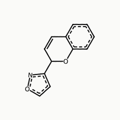 C1=CC(c2ccon2)Oc2ccccc21